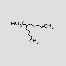 C=CCCCC(CCCC=C)C(=O)O